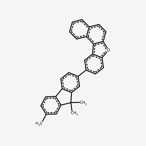 Cc1ccc2c(c1)C(C)(C)c1cc(-c3ccc4oc5ccc6ccccc6c5c4c3)ccc1-2